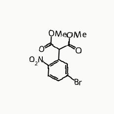 COC(=O)C(C(=O)OC)c1cc(Br)ccc1[N+](=O)[O-]